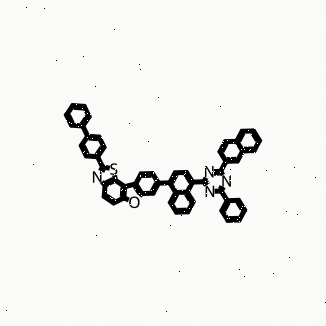 c1ccc(-c2ccc(-c3nc4ccc5oc6cc(-c7ccc(-c8nc(-c9ccccc9)nc(-c9ccc%10ccccc%10c9)n8)c8ccccc78)ccc6c5c4s3)cc2)cc1